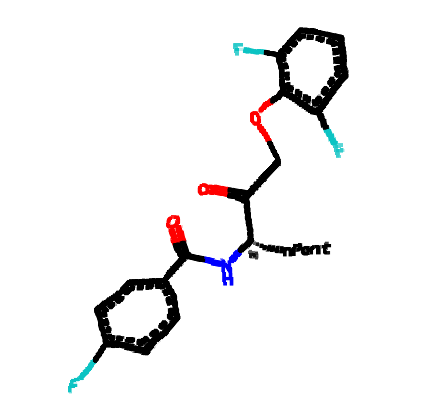 CCCCC[C@H](NC(=O)c1ccc(F)cc1)C(=O)COc1c(F)cccc1F